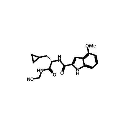 COc1cccc2[nH]c(C(=O)N[C@@H](CC3CC3)C(=O)NCC#N)cc12